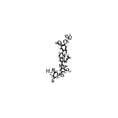 COC(=O)COc1cc(F)c(-c2ccc3cc(-c4nc5cc(C(=O)N6C[C@H](N)C[C@@H](F)C6)cc(OC)c5n4C)n(CC4CC4)c3n2)cc1OC